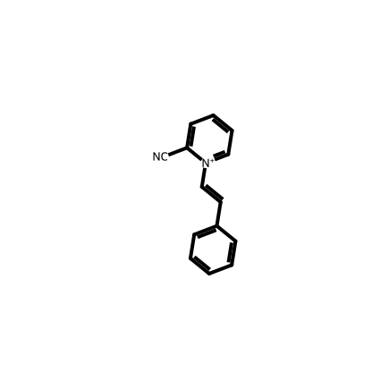 N#Cc1cccc[n+]1C=Cc1ccccc1